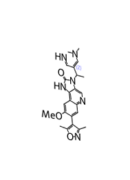 COc1cc2c(cc1-c1c(C)noc1C)ncc1c2[nH]c(=O)n1C(C)/C(C=N)=C/N(C)C